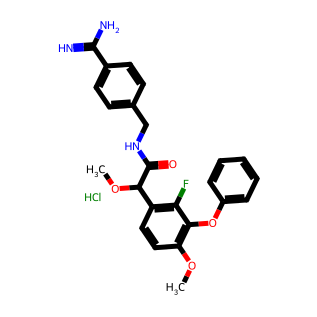 COc1ccc(C(OC)C(=O)NCc2ccc(C(=N)N)cc2)c(F)c1Oc1ccccc1.Cl